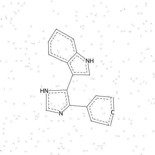 c1ccc(-c2nc[nH]c2-c2c[nH]c3ccccc23)cc1